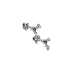 CC1(C)c2ccccc2-c2ccc(-c3cc(-c4ccccc4)nc(-c4ccc(-c5ccc6c(c5)Oc5cc(-c7ccc(-c8cc(-c9cc%10c%11c(cccc%11c9)CC=C%10)nc(-c9ccc(-c%10ccc%11c(c%10)Oc%10ccccc%10C%11%10c%11ccccc%11-c%11ccccc%11%10)cc9)n8)cc7)ccc5C65c6ccccc6-c6ccccc65)cc4)n3)cc21